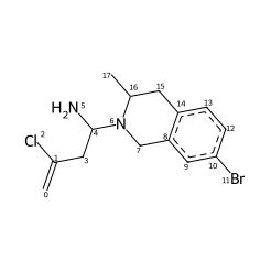 C=C(Cl)CC(N)N1Cc2cc(Br)ccc2CC1C